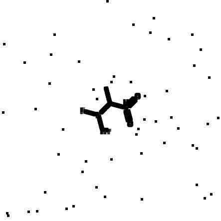 CCCN(F)C(C)[SH](=O)=O